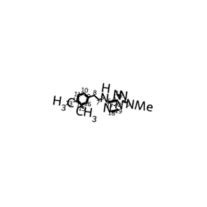 CNc1nnc2c(NCCc3ccc(C)c(C)c3)nccn12